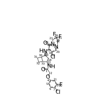 O=C(COc1ccc(Cl)c(F)c1)NC1C[C@H](Nc2c(Cl)cnn(CC(F)(F)F)c2=O)C2CCC12